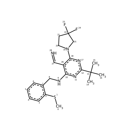 CSc1ccccc1CNc1nc(C(C)(C)C)nc(N2CCC(F)(F)C2)c1C=N